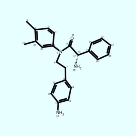 Cc1ccc(N(CCc2ccc(N)cc2)C(=O)[C@@H](N)c2ccccc2)cc1C